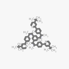 C/C(=C(\C)c1cc(/C(C)=C(/C)c2ccc(-c3cc(C(C)(C)C)ccn3)cc2)cc(/C(C)=C(/C)c2ccc(-c3cc(C(C)(C)C)ccn3)cc2)c1)c1ccc(-c2cc(C(C)(C)C)ccn2)cc1